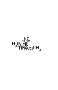 COCCCNc1nc(CN2CCC(C)CC2)sc1C(=O)Oc1c(F)c(F)c(F)c(F)c1F